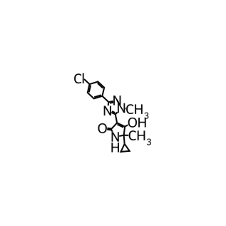 Cn1nc(-c2ccc(Cl)cc2)nc1C1=C(O)C(C)(C2CC2)NC1=O